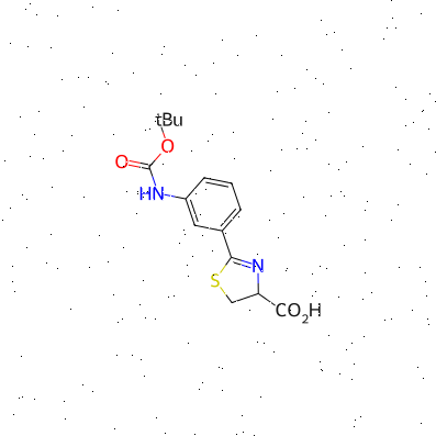 CC(C)(C)OC(=O)Nc1cccc(C2=NC(C(=O)O)CS2)c1